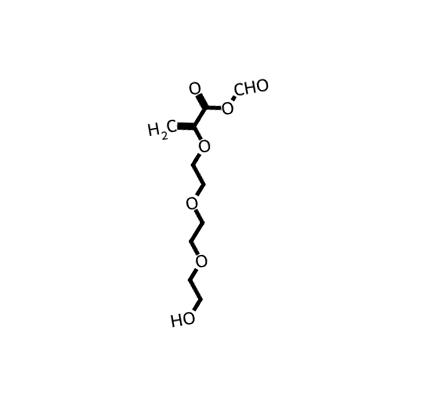 C=C(OCCOCCOCCO)C(=O)OC=O